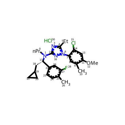 CCCN(c1nc(CC)n(-c2cc(C)c(OC)cc2Cl)n1)[C@@H](CC1CC1)c1ccc(C)c(F)c1.Cl